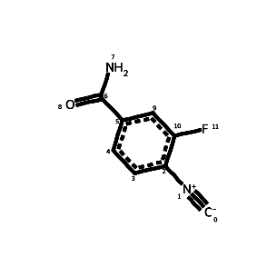 [C-]#[N+]c1ccc(C(N)=O)cc1F